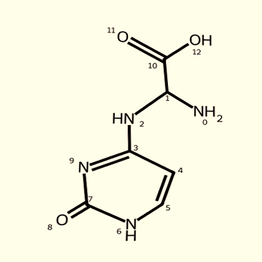 NC(Nc1cc[nH]c(=O)n1)C(=O)O